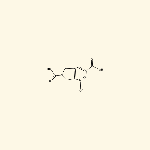 O=C(O)c1cc2c([n+]([O-])c1)CN(C(=O)O)C2